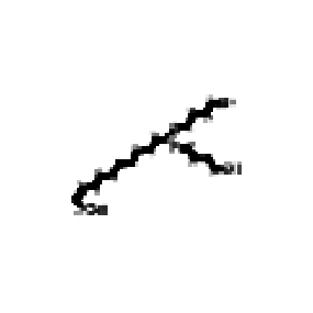 CCCCCCCC/C=C\CCCCCCCCN(OCCCCO)OCCCCO